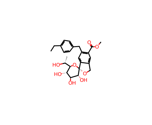 CCc1ccc(Cc2cc3c(cc2C(=O)OC)CO[C@]32O[C@H]([C@@H](C)O)[C@@H](O)[C@H](O)[C@H]2O)cc1